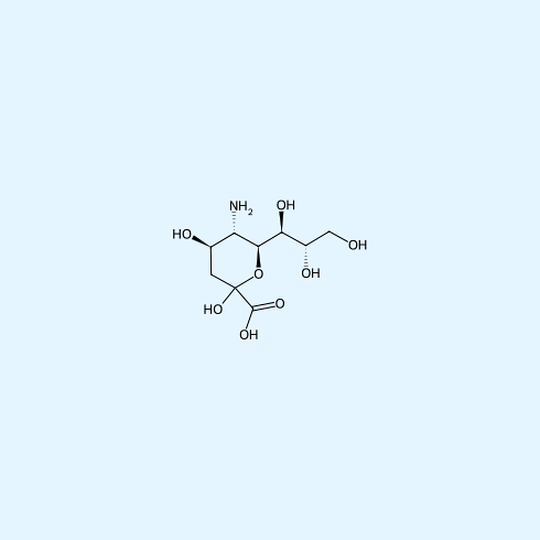 N[C@@H]1[C@@H]([C@@H](O)[C@@H](O)CO)OC(O)(C(=O)O)C[C@H]1O